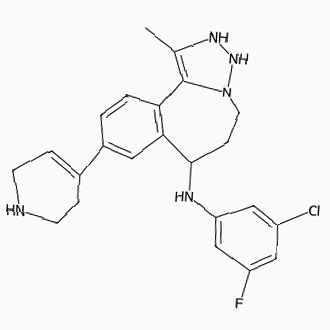 CC1=C2c3ccc(C4=CCNCC4)cc3C(Nc3cc(F)cc(Cl)c3)CCN2NN1